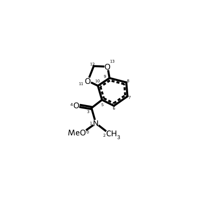 CON(C)C(=O)c1cccc2c1OCO2